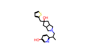 CC(CN1CC2CC(O)(Cc3cccs3)CC2C1)c1ccc(O)cn1